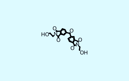 O=C(c1ccc2c(c1)C(=O)N(CCO)C2=O)c1ccc2c(c1)C(=O)N(CCO)C2=O